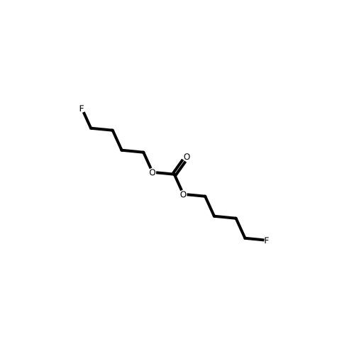 O=C(OCCCCF)OCCCCF